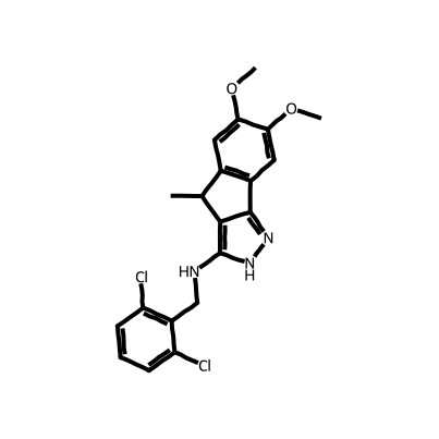 COc1cc2c(cc1OC)C(C)c1c-2n[nH]c1NCc1c(Cl)cccc1Cl